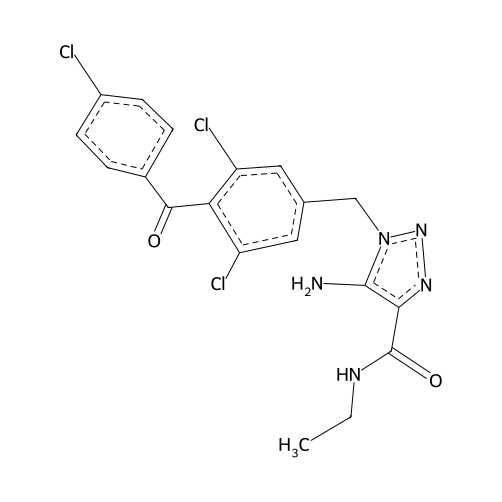 CCNC(=O)c1nnn(Cc2cc(Cl)c(C(=O)c3ccc(Cl)cc3)c(Cl)c2)c1N